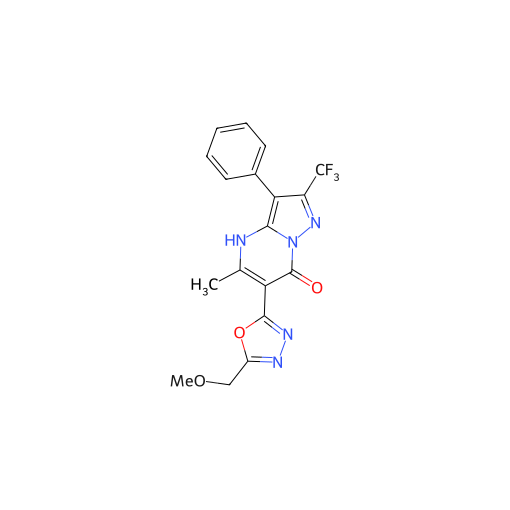 COCc1nnc(-c2c(C)[nH]c3c(-c4ccccc4)c(C(F)(F)F)nn3c2=O)o1